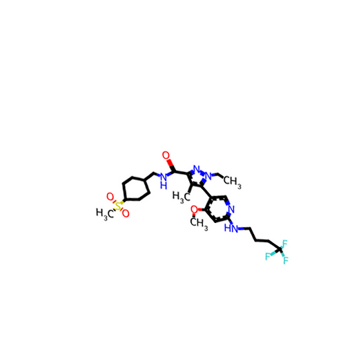 CCn1nc(C(=O)NCC2CCC(S(C)(=O)=O)CC2)c(C)c1-c1cnc(NCCCC(F)(F)F)cc1OC